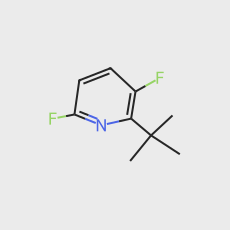 CC(C)(C)c1nc(F)ccc1F